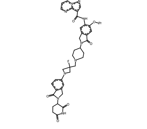 CC(C)Oc1cc2c(cc1NC(=O)c1cnn3cccnc13)CN(C1CCN(CC3(F)CN(c4ccc5c(c4)CN(C4CCC(=O)NC4=O)C5=O)C3)CC1)C2=O